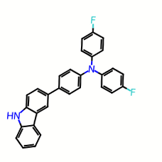 Fc1ccc(N(c2ccc(F)cc2)c2ccc(-c3ccc4[nH]c5ccccc5c4c3)cc2)cc1